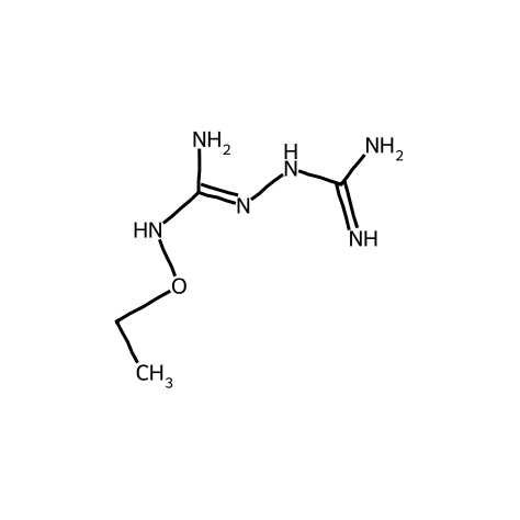 CCONC(N)=NNC(=N)N